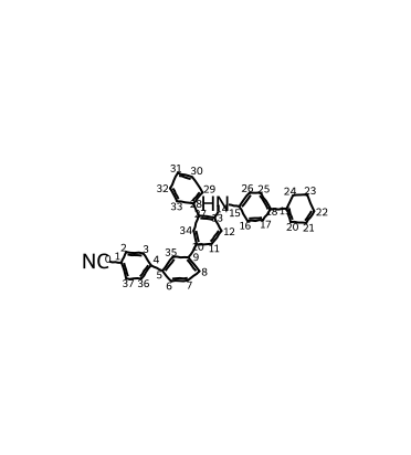 N#Cc1ccc(-c2cccc(-c3ccc(Nc4ccc(C5=CC=CCC5)cc4)c(-c4ccccc4)c3)c2)cc1